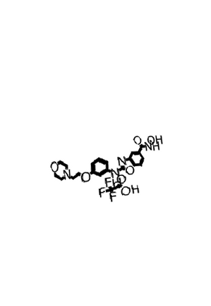 O=C(NO)c1ccc2oc(Nc3cccc(OCCN4CCOCC4)c3)nc2c1.O=C(O)C(F)(F)F